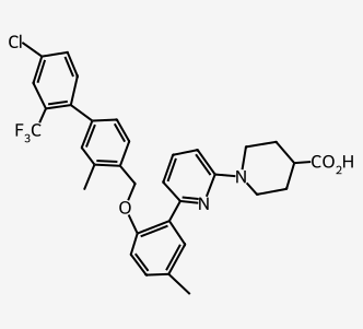 Cc1ccc(OCc2ccc(-c3ccc(Cl)cc3C(F)(F)F)cc2C)c(-c2cccc(N3CCC(C(=O)O)CC3)n2)c1